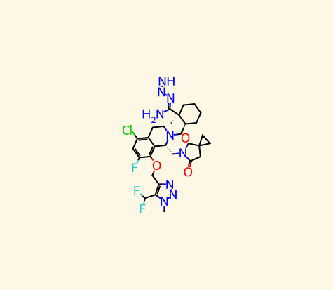 Cn1nnc(COc2c(F)cc(Cl)c3c2[C@@H](CN2CC4(CC4)CC2=O)N(C(=O)[C@@H]2CCCC[C@]2(C)/C(N)=N/N=N)CC3)c1C(F)F